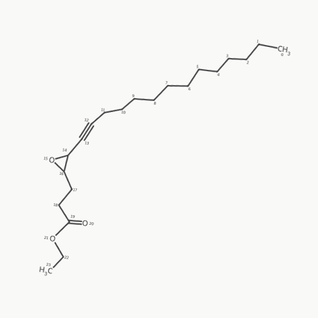 CCCCCCCCCCCCC#CC1OC1CCC(=O)OCC